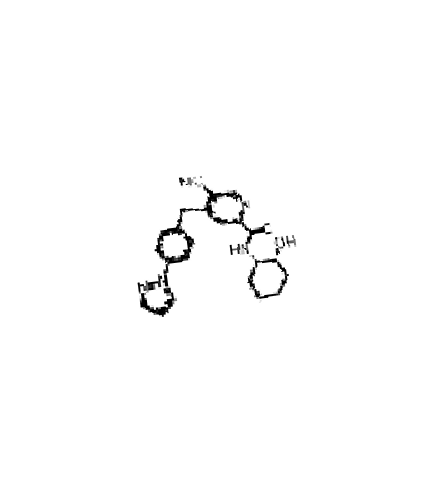 N#Cc1cnc(C(=O)N[C@H]2CCCC[C@@H]2O)cc1Cc1ccc(-n2cccn2)cc1